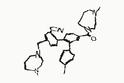 Cc1ccc(-c2cc(C(=O)N3CCCN(C)CC3)ccc2-c2ccc(CN3CCCN(C)CC3)cc2C#N)cc1